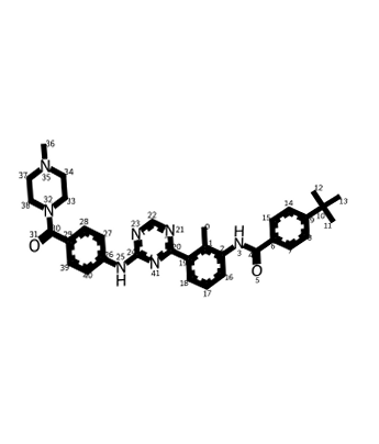 Cc1c(NC(=O)c2ccc(C(C)(C)C)cc2)cccc1-c1ncnc(Nc2ccc(C(=O)N3CCN(C)CC3)cc2)n1